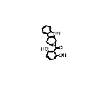 O=C(c1c(O)cccc1O)N1CCc2c([nH]c3ccccc23)C1